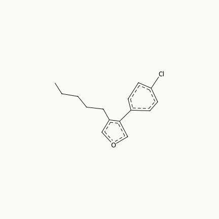 CCCCCc1cocc1-c1ccc(Cl)cc1